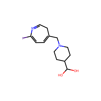 OC(O)C1CCN(CC2=CC=C(I)N=CC2)CC1